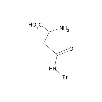 [CH2]CNC(=O)CC(N)C(=O)O